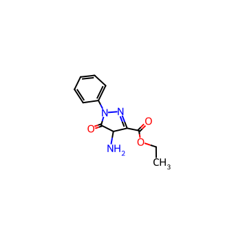 CCOC(=O)C1=NN(c2ccccc2)C(=O)C1N